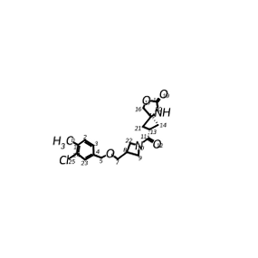 Cc1ccc(COCC2CN(C(=O)[C@H]3C[C@@]4(COC(=O)N4)C3)C2)cc1Cl